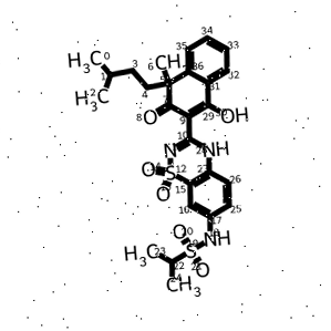 CC(C)CCC1(C)C(=O)C(C2=NS(=O)(=O)c3cc(NS(=O)(=O)C(C)C)ccc3N2)=C(O)c2ccccc21